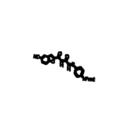 CCCCCc1ccc(SNC(=O)NC(=O)c2cc3cc(C#N)ccc3o2)cc1